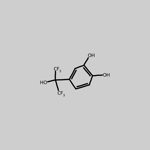 Oc1ccc(C(O)(C(F)(F)F)C(F)(F)F)cc1O